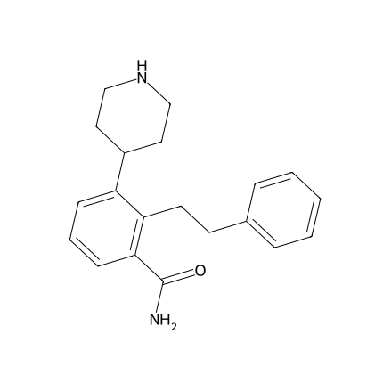 NC(=O)c1cccc(C2CCNCC2)c1CCc1ccccc1